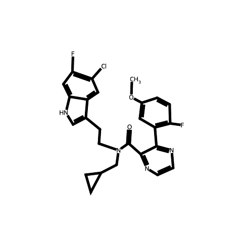 COc1ccc(F)c(-c2nccnc2C(=O)N(CCc2c[nH]c3cc(F)c(Cl)cc23)CC2CC2)c1